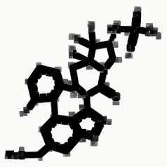 COCc1cc(-c2c(F)cccc2F)c2c(N3CC[C@H]4N(C[C@@H](NS(C)(=O)=O)C4(F)F)C3=O)noc2c1